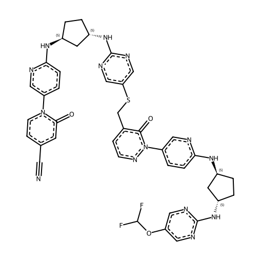 N#Cc1ccn(-c2ccc(N[C@H]3CC[C@H](Nc4ncc(SCc5ccnn(-c6ccc(N[C@H]7CC[C@H](Nc8ncc(OC(F)F)cn8)C7)nc6)c5=O)cn4)C3)nc2)c(=O)c1